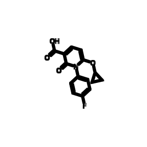 O=C(O)c1ccc(OC2CC2)n(-c2ccc(F)cc2)c1=O